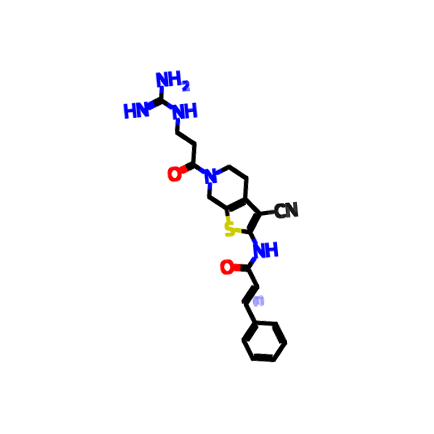 N#Cc1c(NC(=O)/C=C/c2ccccc2)sc2c1CCN(C(=O)CCNC(=N)N)C2